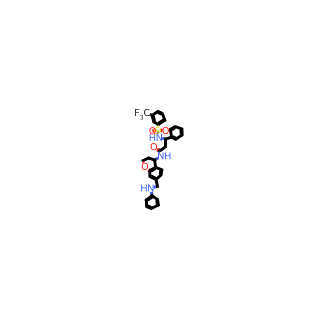 O=C(CC(NS(=O)(=O)c1cccc(C(F)(F)F)c1)c1ccccc1)NC1CCOc2cc(CNc3ccccc3)ccc21